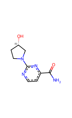 NC(=O)c1[c]cnc(N2CC[C@H](O)C2)n1